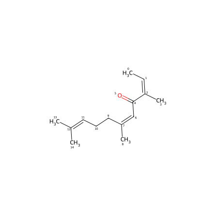 CC=C(C)C(=O)C=C(C)CCC=C(C)C